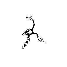 CCc1noc(N=C=O)c1CC